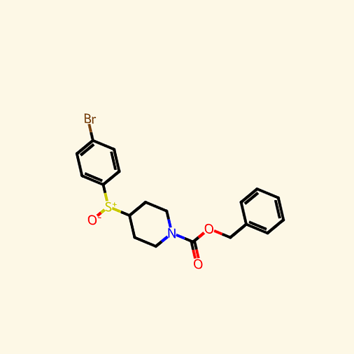 O=C(OCc1ccccc1)N1CCC([S+]([O-])c2ccc(Br)cc2)CC1